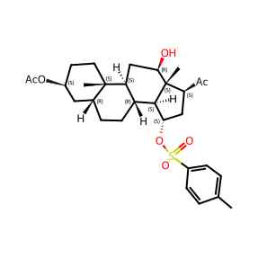 CC(=O)O[C@H]1CC[C@@]2(C)[C@H](CC[C@H]3[C@@H]4[C@@H](OS(=O)(=O)c5ccc(C)cc5)C[C@H](C(C)=O)[C@@]4(C)[C@H](O)C[C@@H]32)C1